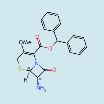 COC1=C(C(=O)OC(c2ccccc2)c2ccccc2)N2C(=O)[C@@H](N)[C@H]2SC1